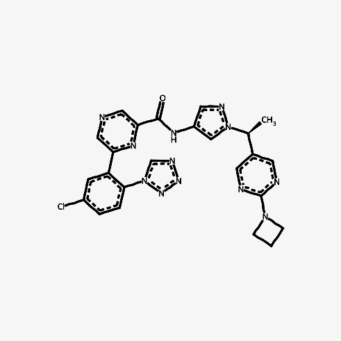 C[C@@H](c1cnc(N2CCC2)nc1)n1cc(NC(=O)c2cncc(-c3cc(Cl)ccc3-n3cnnn3)n2)cn1